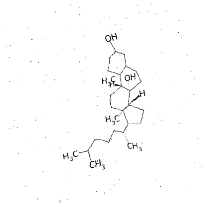 CC(C)CCC[C@@H](C)[C@H]1CC[C@@H]2[C@]1(C)CC[C@H]1[C@@]2(O)CCC2CC(O)CC[C@@]21C